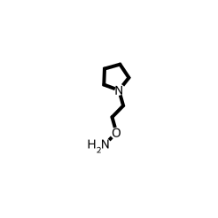 NOCCN1CCCC1